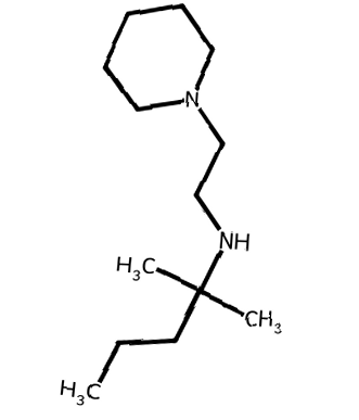 CCCC(C)(C)NCCN1CCCCC1